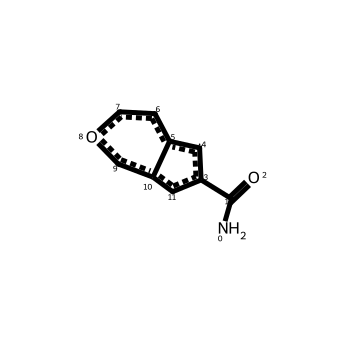 NC(=O)c1[c]c2ccocc-2c1